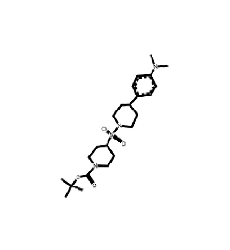 CN(C)c1ccc(C2CCN(S(=O)(=O)C3CCN(C(=O)OC(C)(C)C)CC3)CC2)cc1